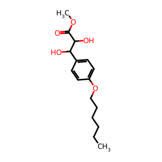 CCCCCCOc1ccc(C(O)C(O)C(=O)OC)cc1